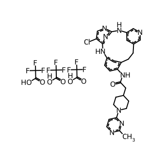 Cc1nccc(N2CCC(CC(=O)Nc3ccc4cc3CCc3cncc(c3)Nc3ncc(Cl)c(n3)N4)CC2)n1.O=C(O)C(F)(F)F.O=C(O)C(F)(F)F.O=C(O)C(F)(F)F